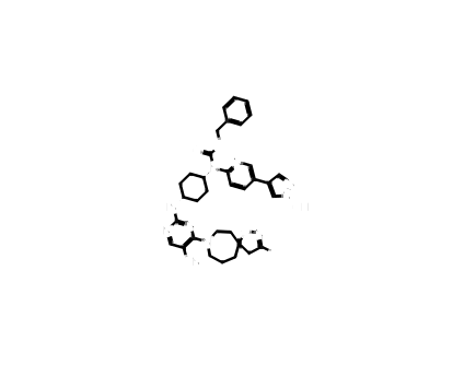 CC1=NOC2(CCCN(c3nc(N[C@H]4CC[C@H](N(C(=O)OCc5ccccc5)c5ccc(-c6cnn(C)c6)cn5)CC4)ncc3C#N)CC2)C1